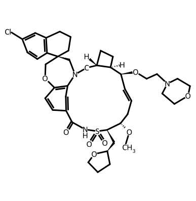 CO[C@H]1C/C=C/[C@H](OCCN2CCOCC2)[C@@H]2CC[C@H]2CN2C[C@@]3(CCCc4cc(Cl)ccc43)COc3ccc(cc32)C(=O)NS(=O)(=O)[C@@H]1C[C@H]1CCCO1